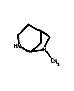 CN1CC2CCNC1C2